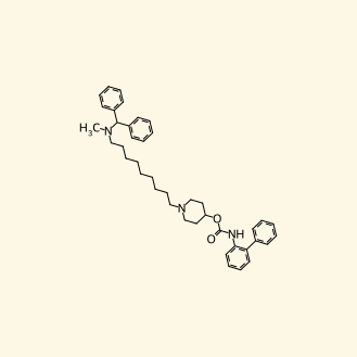 CN(CCCCCCCCCN1CCC(OC(=O)Nc2ccccc2-c2ccccc2)CC1)C(c1ccccc1)c1ccccc1